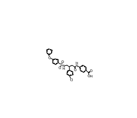 O=C(CC(CNS(=O)(=O)c1ccc(Oc2ccccc2)cc1)c1ccc(Cl)cc1)Nc1ccc(C(=O)O)cc1